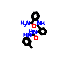 Cc1cccc(NC(=O)Nc2ccccc2CNc2ccccc2C(N)=O)c1